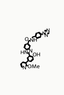 COc1ncccc1-c1ccc(O)c(-c2nc3cc(C(=O)NCc4ccc(-n5cncn5)cc4)ccc3[nH]2)c1